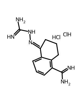 Cl.Cl.N=C(N)NN=C1CCCc2c(C(=N)N)cccc21